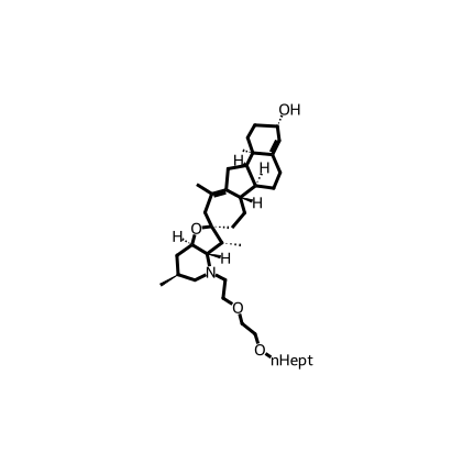 CCCCCCCOCCOCCN1C[C@@H](C)C[C@H]2O[C@]3(CC[C@@H]4C(=C(C)C3)C[C@H]3[C@H]4CCC4=C[C@@H](O)CC[C@@]43C)[C@H](C)[C@@H]21